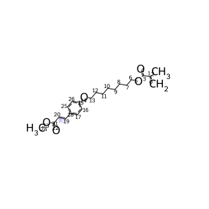 C=C(C)C(=O)OCCCCCCCCOc1ccc(/C=C/C(=O)OC)cc1